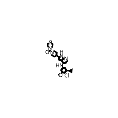 COc1cc(Nc2ccnc3[nH]c(C4=CCN(C(=O)N5CCN(C)CC5)CC4)cc23)cc(C2CC2)c1Cl